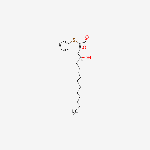 CCCCCCCCCCC[C@H](O)CC1=C(Sc2ccccc2)C(=O)O1